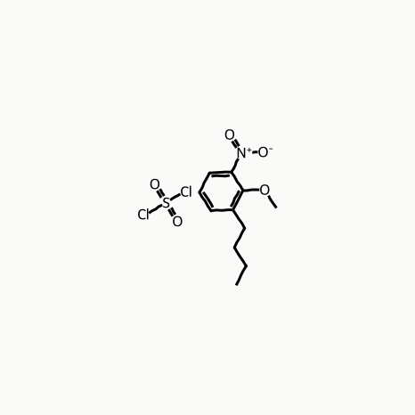 CCCCc1cccc([N+](=O)[O-])c1OC.O=S(=O)(Cl)Cl